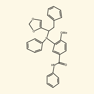 COc1ccc(C(=O)Nc2ccccc2)cc1N(c1ccccc1)C(Cc1ccccc1)C1=COCO1